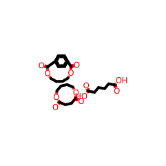 O=C(O)CCCCC(=O)O.O=C1CCC(=O)OCCCCO1.O=C1OCCCCOC(=O)c2ccc1cc2